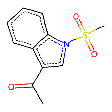 CC(=O)c1cn(S(C)(=O)=O)c2ccccc12